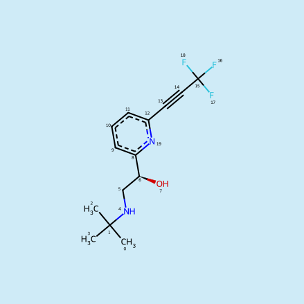 CC(C)(C)NC[C@H](O)c1cccc(C#CC(F)(F)F)n1